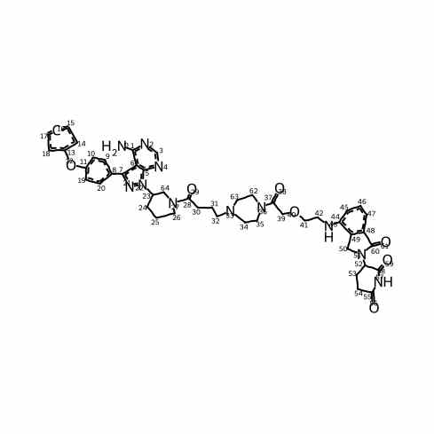 Nc1ncnc2c1c(-c1ccc(Oc3ccccc3)cc1)nn2C1CCCN(C(=O)CCCN2CCN(C(=O)COCCNc3cccc4c3CN(C3CCC(=O)NC3=O)C4=O)CC2)C1